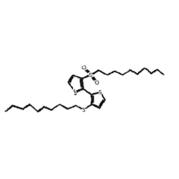 CCCCCCCCCCSc1ccsc1-c1sccc1S(=O)(=O)CCCCCCCCCC